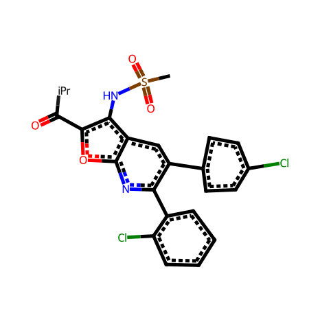 CC(C)C(=O)c1oc2nc(-c3ccccc3Cl)c(-c3ccc(Cl)cc3)cc2c1NS(C)(=O)=O